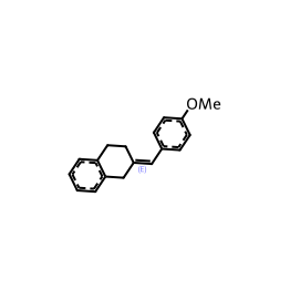 COc1ccc(/C=C2\CCc3ccccc3C2)cc1